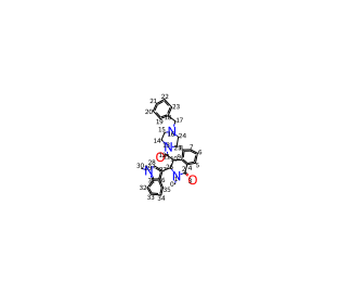 CN1C(=O)c2ccccc2C(C(=O)N2CCN(Cc3ccccc3)CC2)C1c1cn(C)c2ccccc12